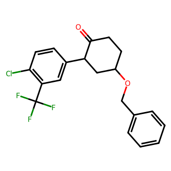 O=C1CCC(OCc2ccccc2)CC1c1ccc(Cl)c(C(F)(F)F)c1